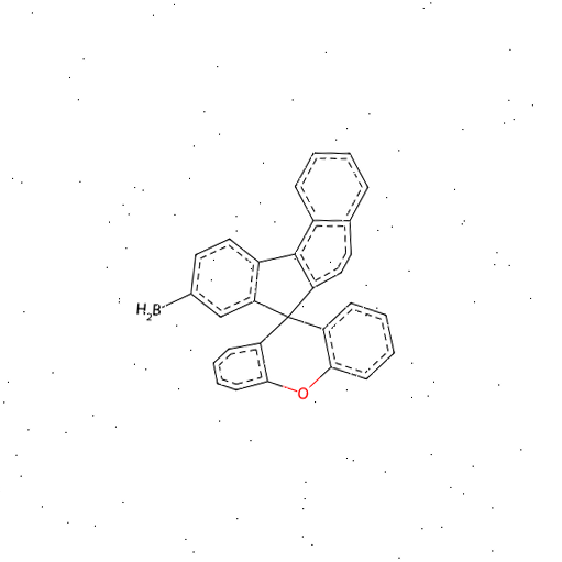 Bc1ccc2c(c1)C1(c3ccccc3Oc3ccccc31)c1ccc3ccccc3c1-2